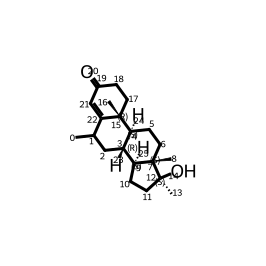 CC1C[C@@H]2[C@H](CC[C@@]3(C)[C@H]2CC[C@]3(C)O)[C@@]2(C)CCC(=O)C=C12